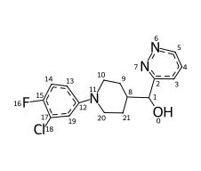 OC(c1cccnn1)C1CCN(c2ccc(F)c(Cl)c2)CC1